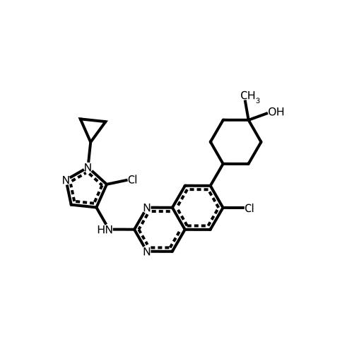 CC1(O)CCC(c2cc3nc(Nc4cnn(C5CC5)c4Cl)ncc3cc2Cl)CC1